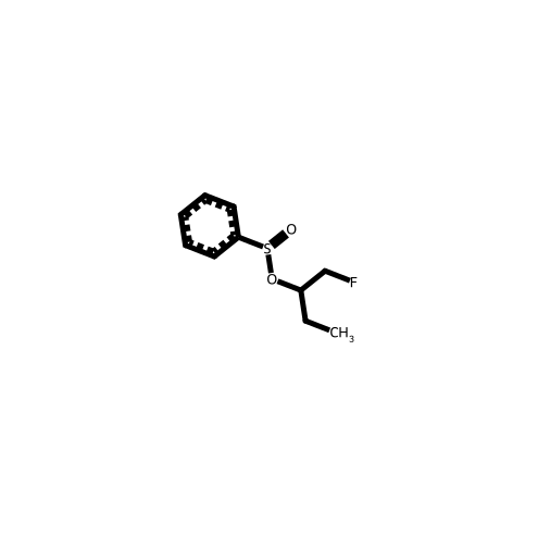 CCC(CF)OS(=O)c1ccccc1